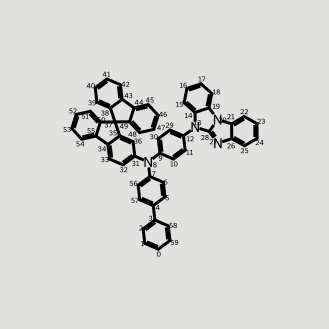 c1ccc(-c2ccc(N(c3ccc(-n4c5ccccc5n5c6ccccc6nc45)cc3)c3ccc4c(c3)C3(c5ccccc5-c5ccccc53)c3ccccc3-4)cc2)cc1